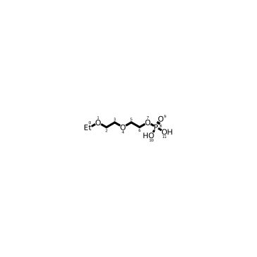 [CH2]COCCOCCOP(=O)(O)O